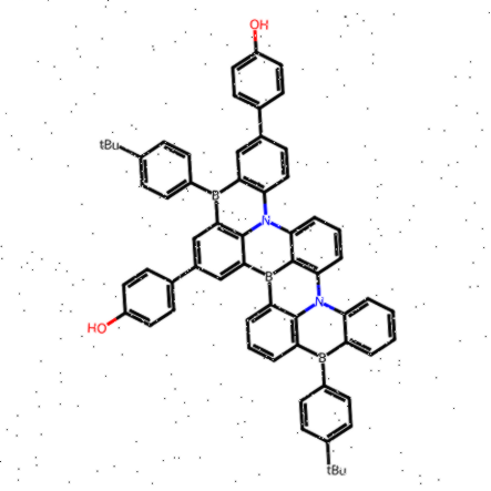 CC(C)(C)c1ccc(B2c3ccccc3N3c4cccc5c4B(c4cccc2c43)c2cc(-c3ccc(O)cc3)cc3c2N5c2ccc(-c4ccc(O)cc4)cc2B3c2ccc(C(C)(C)C)cc2)cc1